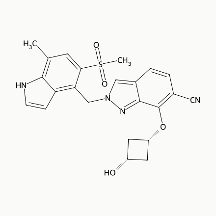 Cc1cc(S(C)(=O)=O)c(Cn2cc3ccc(C#N)c(O[C@H]4C[C@@H](O)C4)c3n2)c2cc[nH]c12